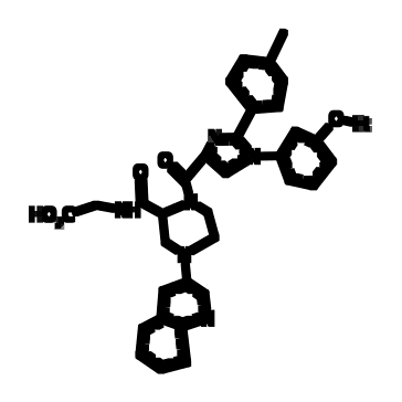 CCOc1cccc(-n2cc(C(=O)N3CCN(c4cnc5ccccc5c4)CC3C(=O)NCC(=O)O)nc2-c2ccc(C)cc2)c1